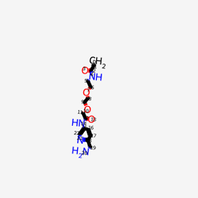 C=CC(=O)NCCOCCOCC(=O)Nc1ccc(CN)nc1